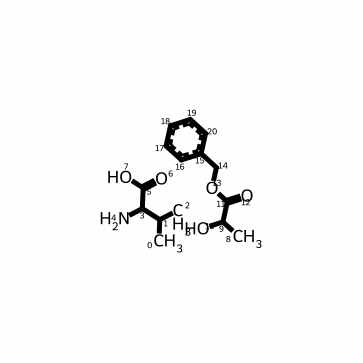 CC(C)C(N)C(=O)O.CC(O)C(=O)OCc1ccccc1